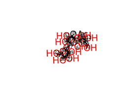 CC(=O)O[C@H]1[C@@H](O[C@]2(CO)O[C@H](CO)[C@@H](O)[C@@H]2O)O[C@H](CO[C@H]2O[C@H](CO)[C@H](O)[C@H](O)[C@H]2O)[C@@H](O)[C@@H]1O